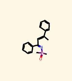 C/C(=C\C(=N\P(C)(C)=O)c1ccccc1)c1ccccc1